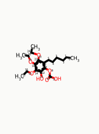 CCCCCCc1c(OC(=O)O)c(O)c(OCC)c(OCC)c1OCC